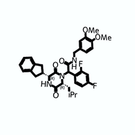 COc1ccc(CNC(=O)C(c2ccc(F)cc2F)N2C(=O)[C@@H](C3Cc4ccccc4C3)NC(=O)[C@H]2CC(C)C)cc1OC